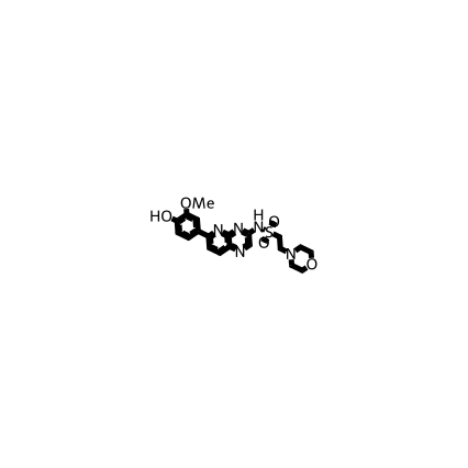 COc1cc(-c2ccc3ncc(NS(=O)(=O)CCN4CCOCC4)nc3n2)ccc1O